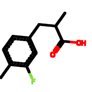 Cc1ccc(CC(C)C(=O)O)cc1F